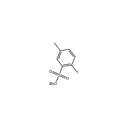 CC(C)COS(=O)(=O)c1cc(I)ccc1I